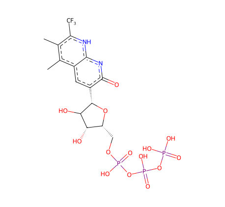 Cc1c2cc([C@@H]3O[C@H](COP(=O)(O)OP(=O)(O)OP(=O)(O)O)[C@H](O)C3O)c(=O)nc-2[nH]c(C(F)(F)F)c1C